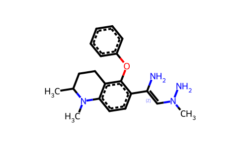 CC1CCc2c(ccc(/C(N)=C/N(C)N)c2Oc2ccccc2)N1C